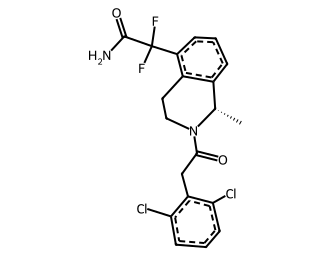 C[C@H]1c2cccc(C(F)(F)C(N)=O)c2CCN1C(=O)Cc1c(Cl)cccc1Cl